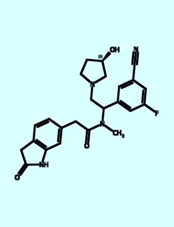 CN(C(=O)Cc1ccc2c(c1)NC(=O)C2)C(CN1CC[C@@H](O)C1)c1cc(F)cc(C#N)c1